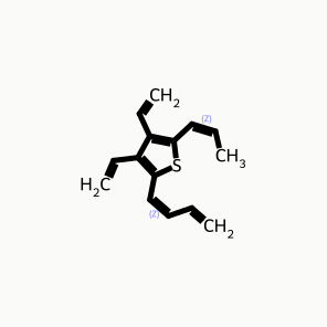 C=C/C=C\c1sc(/C=C\C)c(C=C)c1C=C